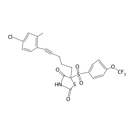 Cc1cc(Cl)ccc1C#CCCCC1(S(=O)(=O)c2ccc(OC(F)(F)F)cc2)SC(=O)NC1=O